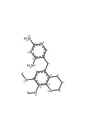 COc1cc(Cc2cnc(N)nc2N)c2c(c1OC)OCCC2